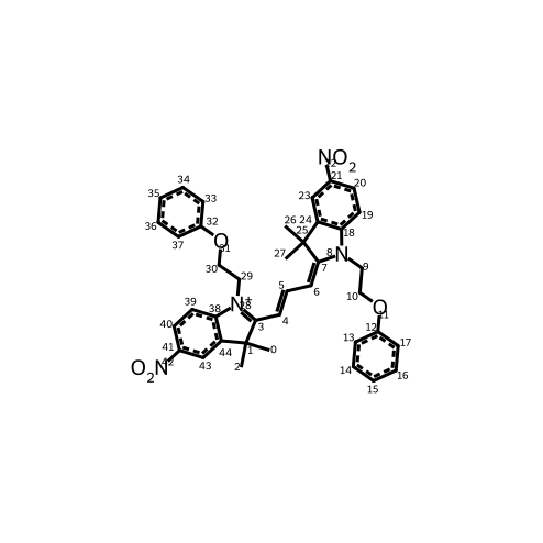 CC1(C)C(/C=C/C=C2/N(CCOc3ccccc3)c3ccc([N+](=O)[O-])cc3C2(C)C)=[N+](CCOc2ccccc2)c2ccc([N+](=O)[O-])cc21